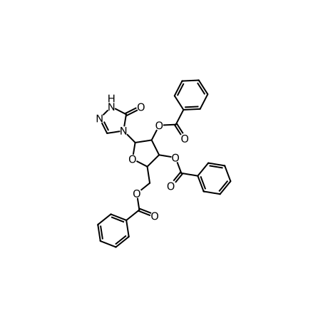 O=C(OCC1OC(n2cn[nH]c2=O)C(OC(=O)c2ccccc2)C1OC(=O)c1ccccc1)c1ccccc1